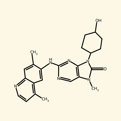 Cc1cc2nccc(C)c2cc1Nc1ncc2c(n1)n(C1CCC(O)CC1)c(=O)n2C